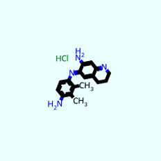 Cc1c(N)ccc(N=C2C=C3CCCN=C3C=C2N)c1C.Cl